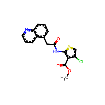 COC(=O)c1c(Cl)csc1NC(=O)Cc1cccc2ncccc12